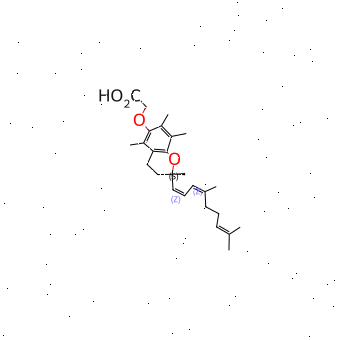 CC(C)=CCC/C(C)=C\C=C/[C@]1(C)CCc2c(C)c(OCC(=O)O)c(C)c(C)c2O1